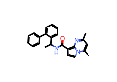 Cc1cc(C)n2ccc(C(=O)NC(C)c3ccccc3-c3ccccc3)c2n1